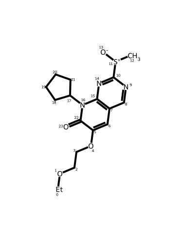 CCOCCOc1cc2cnc([S+](C)[O-])nc2n(C2CCCC2)c1=O